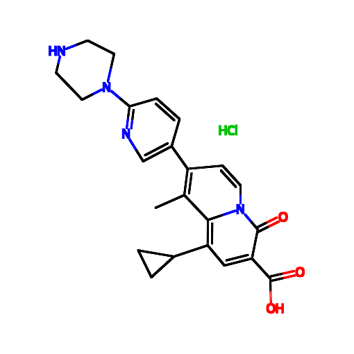 Cc1c(-c2ccc(N3CCNCC3)nc2)ccn2c(=O)c(C(=O)O)cc(C3CC3)c12.Cl